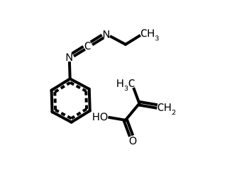 C=C(C)C(=O)O.CCN=C=Nc1ccccc1